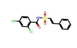 O=C(NS(=O)(=O)C=Cc1ccccc1)c1ccc(Cl)cc1Cl